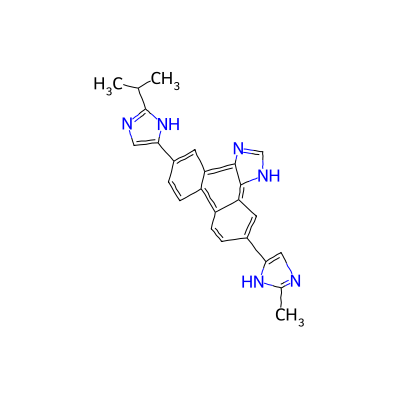 Cc1ncc(-c2ccc3c4ccc(-c5cnc(C(C)C)[nH]5)cc4c4nc[nH]c4c3c2)[nH]1